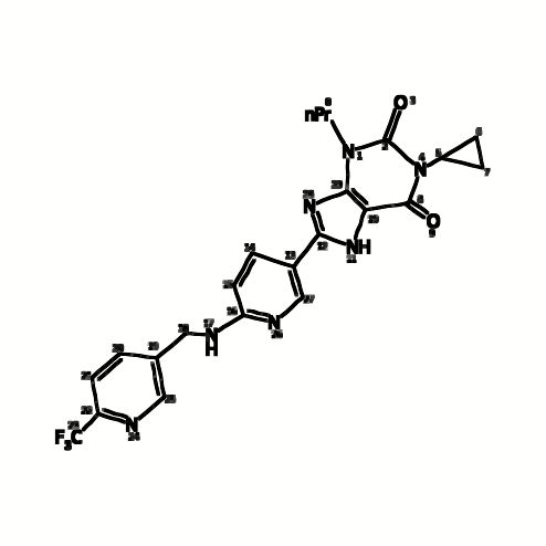 CCCn1c(=O)n(C2CC2)c(=O)c2[nH]c(-c3ccc(NCc4ccc(C(F)(F)F)nc4)nc3)nc21